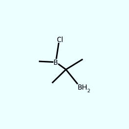 BC(C)(C)B(C)Cl